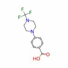 O=C(O)c1ccc(N2CCN(C(F)(F)F)CC2)cc1